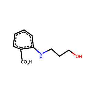 O=C(O)c1ccccc1NCCCO